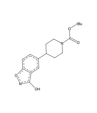 CC(C)(C)OC(=O)N1CCC(c2ccc3onc(O)c3c2)CC1